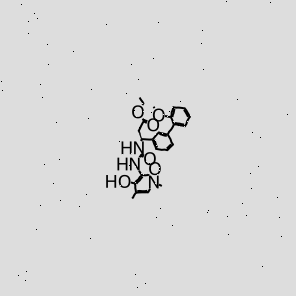 CCOC(=O)C[C@H](NC(=O)Nc1c(O)c(C)cn(C)c1=O)c1cccc(-c2ccccc2OC)c1